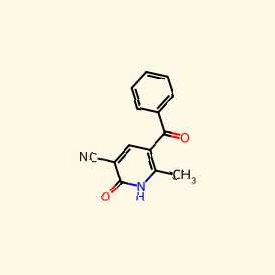 Cc1[nH]c(=O)c(C#N)cc1C(=O)c1ccccc1